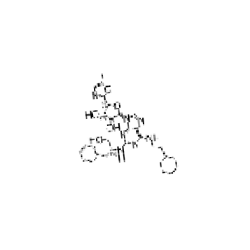 Cc1cnc([C@H]2O[C@@H](n3cnc4c(NCCC5CCCCC5)nc(N[C@H](CO)Cc5ccccc5)nc43)[C@H](O)[C@@H]2O)o1